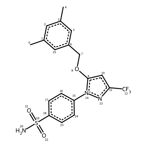 Cc1cc(C)cc(COc2cc(C(F)(F)F)nn2-c2ccc(S(N)(=O)=O)cc2)c1